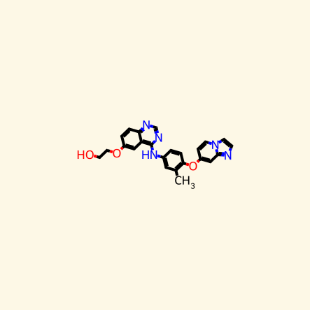 Cc1cc(Nc2ncnc3ccc(OCCO)cc23)ccc1Oc1ccn2ccnc2c1